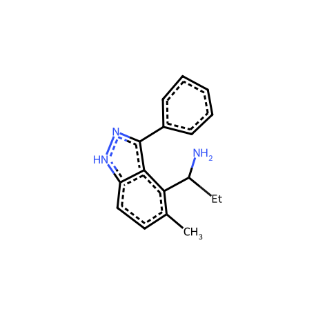 CCC(N)c1c(C)ccc2[nH]nc(-c3ccccc3)c12